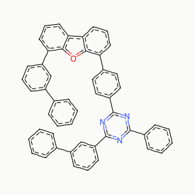 c1ccc(-c2cccc(-c3nc(-c4ccccc4)nc(-c4ccc(-c5cccc6c5oc5c(-c7cccc(-c8ccccc8)c7)cccc56)cc4)n3)c2)cc1